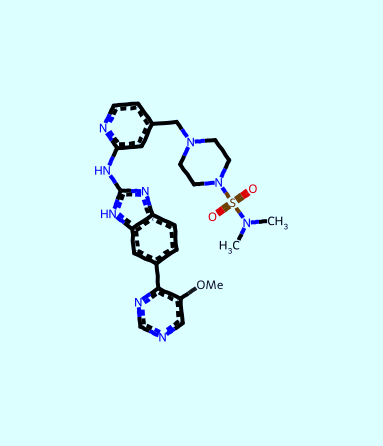 COc1cncnc1-c1ccc2nc(Nc3cc(CN4CCN(S(=O)(=O)N(C)C)CC4)ccn3)[nH]c2c1